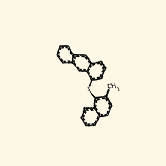 Cc1ccc2ccccc2c1Sc1cccc2cc3ccccc3cc12